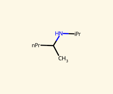 CCCC(C)NC(C)C